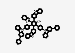 N#Cc1c(-c2ccc(-n3c4ccccc4c4cc(-c5ccccc5)ccc43)cc2)c(-c2ccc3sc4ccccc4c3c2)c(-c2ccc(-n3c4ccccc4c4cc(-c5ccccc5)ccc43)cc2)c(-c2nc3ccccc3o2)c1-c1ccc2sc3ccccc3c2c1